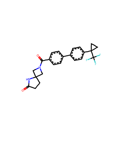 O=C1CCC2(CN(C(=O)c3ccc(-c4ccc(C5(C(F)(F)F)CC5)cc4)cc3)C2)N1